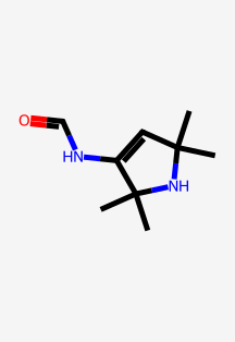 CC1(C)C=C(NC=O)C(C)(C)N1